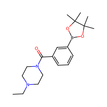 CCN1CCN(C(=O)c2cccc(B3OC(C)(C)C(C)(C)O3)c2)CC1